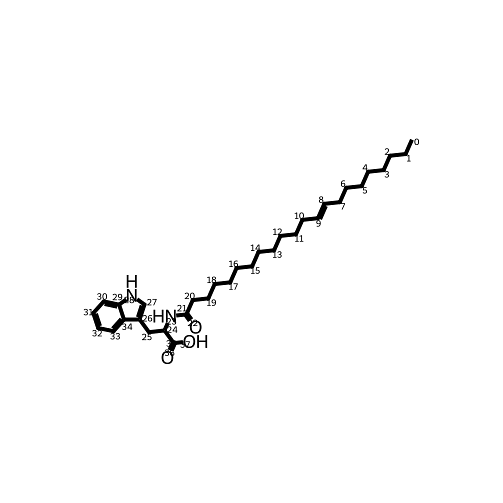 CCCCCCCCC=CCCCCCCCCCCCC(=O)NC(Cc1c[nH]c2ccccc12)C(=O)O